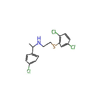 CC(NCCSc1cc(Cl)ccc1Cl)c1ccc(Cl)cc1